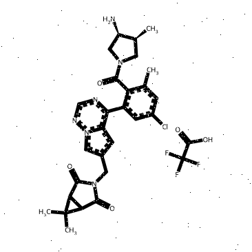 Cc1cc(Cl)cc(-c2ncnn3cc(CN4C(=O)C5C(C4=O)C5(C)C)cc23)c1C(=O)N1C[C@@H](N)[C@@H](C)C1.O=C(O)C(F)(F)F